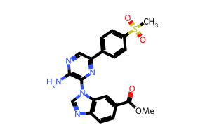 COC(=O)c1ccc2ncn(-c3nc(-c4ccc(S(C)(=O)=O)cc4)cnc3N)c2c1